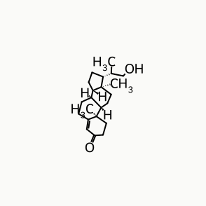 CC(CO)[C@H]1CC[C@H]2[C@@H]3CCC4=CC(=O)CC[C@]4(C)[C@H]3CC[C@]12C